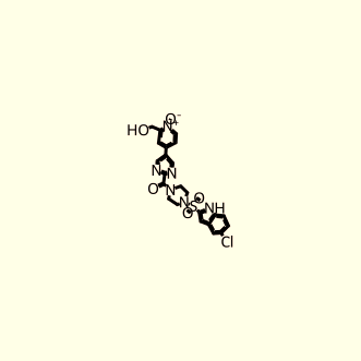 O=C(c1ncc(-c2cc[n+]([O-])c(CO)c2)cn1)N1CCN(S(=O)(=O)c2cc3cc(Cl)ccc3[nH]2)CC1